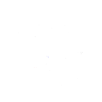 CSc1ccc2sc(O)c(C(=O)NC=C(c3ccccc3)c3cccc(F)c3)c2c1